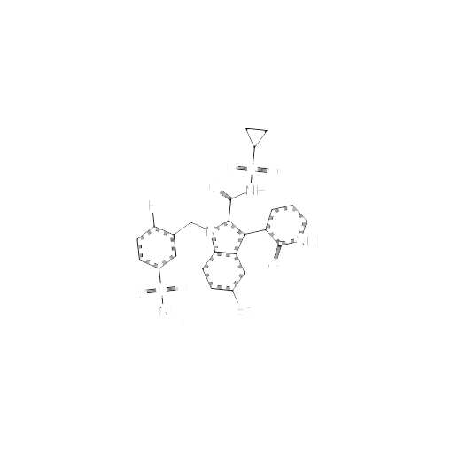 CCc1ccc2c(c1)c(-c1ccc[nH]c1=O)c(C(=O)NS(=O)(=O)C1CC1)n2Cc1cc(S(N)(=O)=O)ccc1F